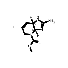 COC(=O)N1CC=C[C@@H]2NC(N)=N[C@@H]21.Cl